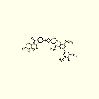 COc1cc(C2=CN(C)C(=O)N(C)C2)cc(OC)c1CN1CCC2(CC1)CN(c1ccc3c(c1)C(=O)N(C1CCC(=O)NC1=O)C3=O)C2